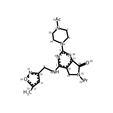 CC(=O)N1CCN(c2nc(NCc3cc(C)on3)c3c(n2)C(=O)N(C(C)C)C3)CC1